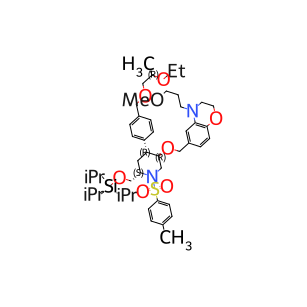 CCO[C@H](C)COCc1ccc([C@H]2C[C@@H](CO[Si](C(C)C)(C(C)C)C(C)C)N(S(=O)(=O)c3ccc(C)cc3)C[C@@H]2OCc2ccc3c(c2)N(CCCOC)CCO3)cc1